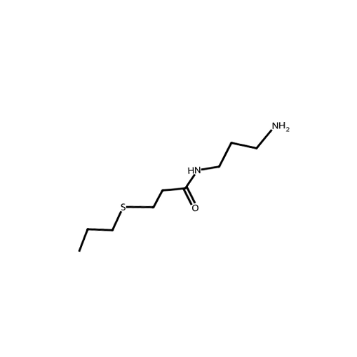 CCCSCCC(=O)NCCCN